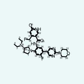 CCN(CC)[C@@H]1CCN(c2cc(F)c(-c3cnc(N4CCOCC4)nc3)cc2NC(=O)c2c[nH]c(=O)cc2CF)C1